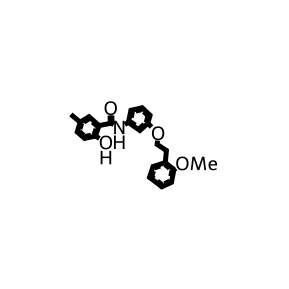 COc1ccccc1CCOc1cccc(NC(=O)c2cc(C)ccc2O)c1